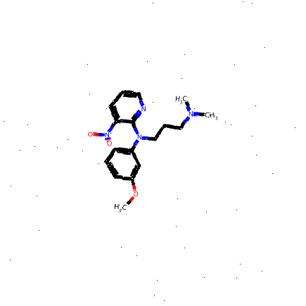 COc1cccc(N(CCCN(C)C)c2ncccc2[N+](=O)[O-])c1